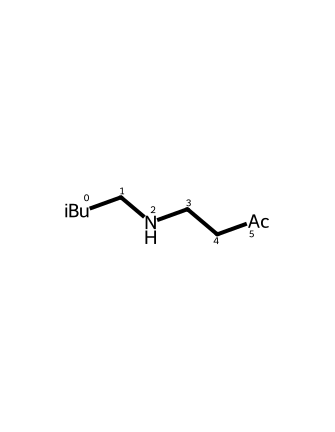 CCC(C)CNCCC(C)=O